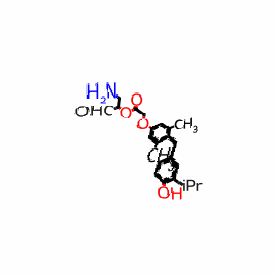 Cc1cc(OCC(=O)OC(C=O)CN)cc(C)c1Cc1ccc(O)c(C(C)C)c1